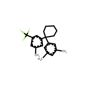 Cc1cc(C)cc(C2(c3cc(C)cc(C(F)(F)F)c3)CCCCC2)c1